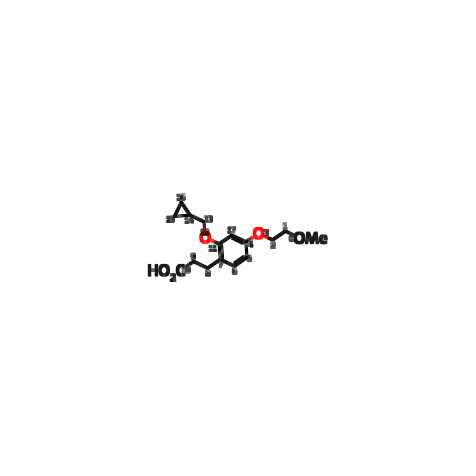 COCCOc1ccc(CCC(=O)O)c(OCC2CC2)c1